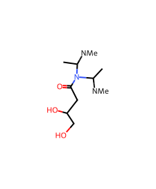 CNC(C)N(C(=O)CC(O)CO)C(C)NC